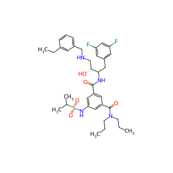 CCCN(CCC)C(=O)c1cc(NS(=O)(=O)C(C)C)cc(C(=O)NC(Cc2cc(F)cc(F)c2)[C@H](O)CNCc2cccc(CC)c2)c1